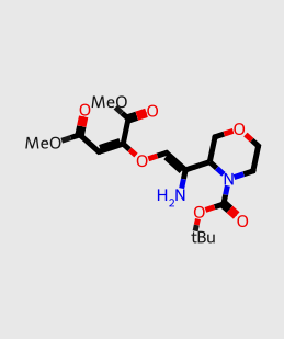 COC(=O)C=C(OC=C(N)C1COCCN1C(=O)OC(C)(C)C)C(=O)OC